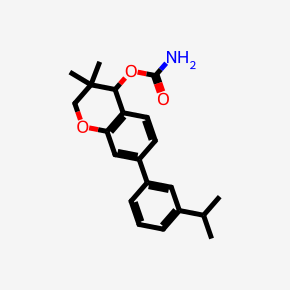 CC(C)c1cccc(-c2ccc3c(c2)OCC(C)(C)C3OC(N)=O)c1